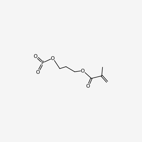 C=C(C)C(=O)OCCCOP(=O)=O